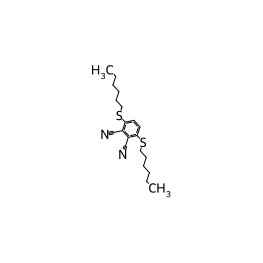 CCCCCCSc1ccc(SCCCCCC)c(C#N)c1C#N